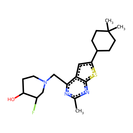 Cc1nc(CN2CCC(O)C(F)C2)c2cc(C3CCC(C)(C)CC3)sc2n1